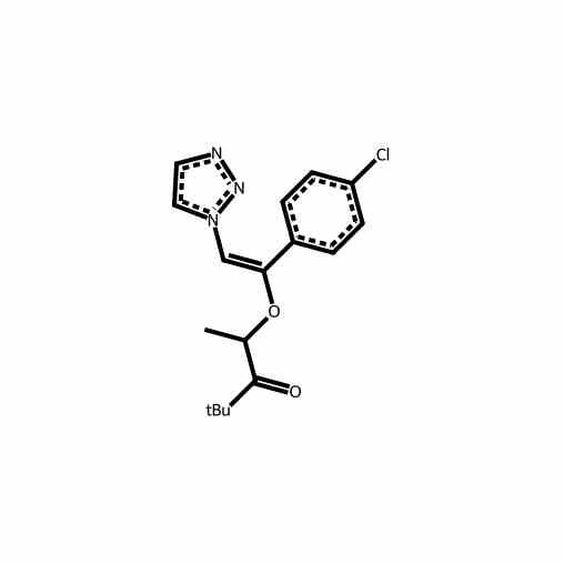 CC(OC(=Cn1ccnn1)c1ccc(Cl)cc1)C(=O)C(C)(C)C